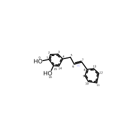 Oc1ccc(C/C=C/c2ccccc2)cc1O